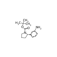 CC(C)(C)OC(=O)N1CCC[C@@H]1c1cccc(N)c1